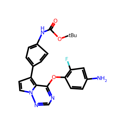 CC(C)(C)OC(=O)Nc1ccc(-c2ccn3ncnc(Oc4ccc(N)cc4F)c23)cc1